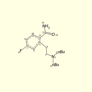 CCCCN(CCCC)CCc1cc(F)ccc1C(N)=O